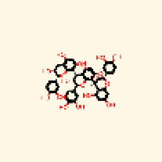 Oc1cc(O)c2c(c1)O[C@@]1(c3ccc(O)c(O)c3)Oc3cc(O)c4c(c3[C@@H]2[C@H]1O)OC(c1ccc(O)c(O)c1)[C@H](O)[C@H]4c1c(O)cc(O)c2c1O[C@H](c1ccc(O)c(O)c1)[C@@H](O)C2